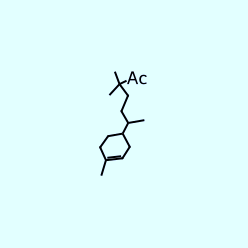 CC(=O)C(C)(C)CCC(C)C1CC=C(C)CC1